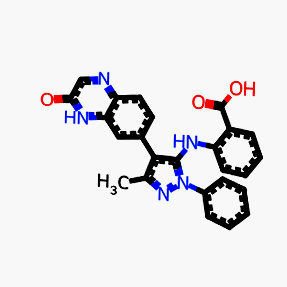 Cc1nn(-c2ccccc2)c(Nc2ccccc2C(=O)O)c1-c1ccc2ncc(=O)[nH]c2c1